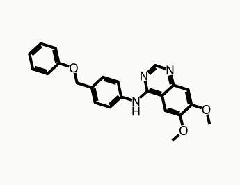 COc1cc2ncnc(Nc3ccc(COc4ccccc4)cc3)c2cc1OC